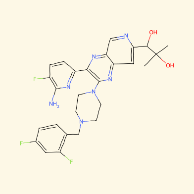 CC(C)(O)C(O)c1cc2nc(N3CCN(Cc4ccc(F)cc4F)CC3)c(-c3ccc(F)c(N)n3)nc2cn1